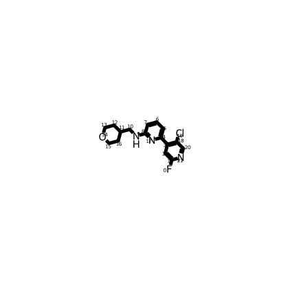 Fc1cc(-c2cccc(NCC3CCOCC3)n2)c(Cl)cn1